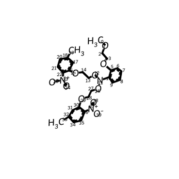 COCCOc1ccccc1N(OCCOc1cc(C)ccc1[N+](=O)[O-])OCCOc1cc(C)ccc1[N+](=O)[O-]